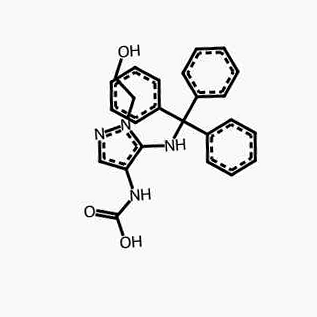 O=C(O)Nc1cnn(CCO)c1NC(c1ccccc1)(c1ccccc1)c1ccccc1